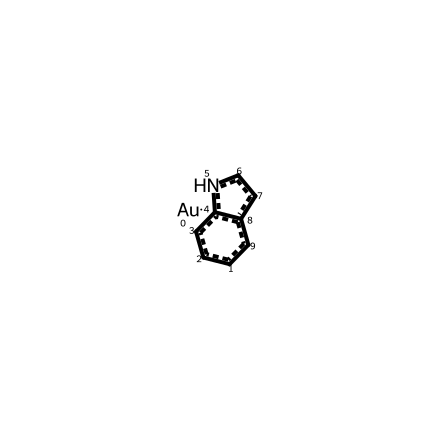 [Au].c1ccc2[nH]ccc2c1